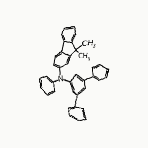 CC1(C)c2ccccc2-c2ccc(N(c3ccccc3)c3cc(-c4ccccc4)cc(-c4ccccc4)c3)cc21